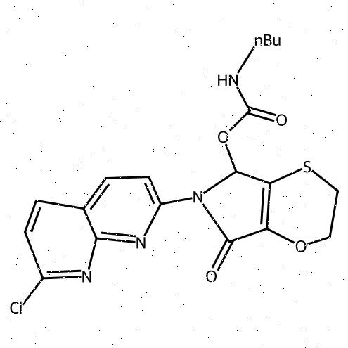 CCCCNC(=O)OC1C2=C(OCCS2)C(=O)N1c1ccc2ccc(Cl)nc2n1